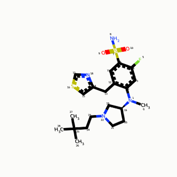 CN(c1cc(F)c(S(N)(=O)=O)cc1Cc1cscn1)[C@H]1CCN(CCC(C)(C)C)C1